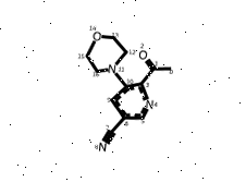 CC(=O)c1ncc(C#N)cc1N1CCOCC1